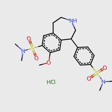 COc1cc2c(cc1S(=O)(=O)N(C)C)CCNCC2c1ccc(S(=O)(=O)N(C)C)cc1.Cl